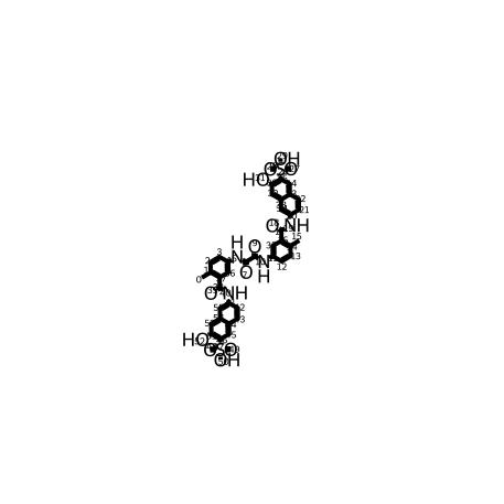 Cc1ccc(NC(=O)C(=O)Nc2ccc(C)c(C(=O)Nc3ccc4cc(S(=O)(=O)O)c(O)cc4c3)c2)cc1C(=O)Nc1ccc2cc(S(=O)(=O)O)c(O)cc2c1